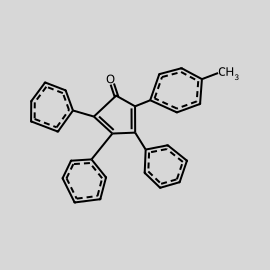 Cc1ccc(C2=C(c3ccccc3)C(c3ccccc3)=C(c3ccccc3)C2=O)cc1